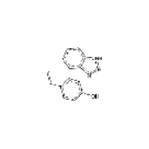 C=Cc1ccc(O)cc1.c1ccc2[nH]nnc2c1